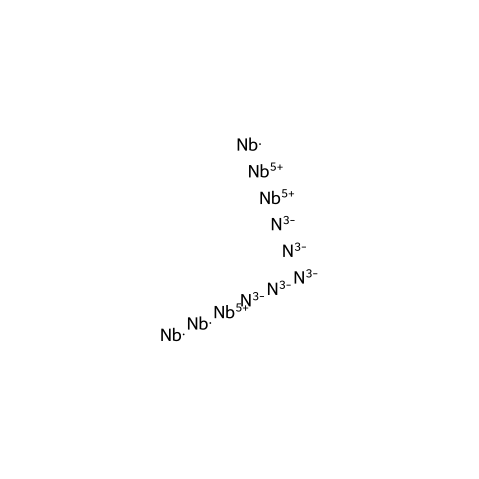 [N-3].[N-3].[N-3].[N-3].[N-3].[Nb+5].[Nb+5].[Nb+5].[Nb].[Nb].[Nb]